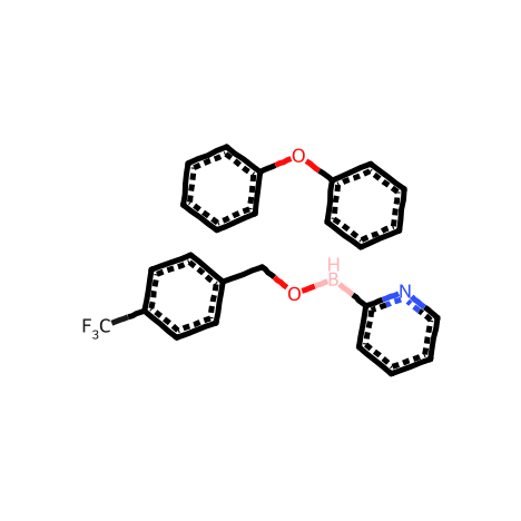 FC(F)(F)c1ccc(COBc2ccccn2)cc1.c1ccc(Oc2ccccc2)cc1